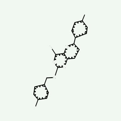 Nc1nc(NCc2ccc(F)cc2)nc2ccc(-c3ccc(F)cc3)nc12